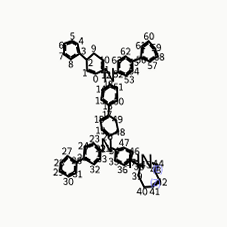 C1=CC(c2ccccc2)CC=C1N(c1ccc(C2=CC=C(N(c3ccc(-c4ccccc4)cc3)c3ccc(C4CC/C=C\C=C\N4)cc3)CC2)cc1)c1ccc(-c2ccccc2)cc1